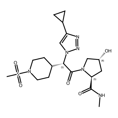 CNC(=O)[C@@H]1C[C@@H](O)CN1C(=O)[C@H](C1CCN(S(C)(=O)=O)CC1)n1cc(C2CC2)nn1